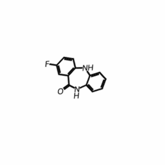 O=C1Nc2ccccc2Nc2ccc(F)cc21